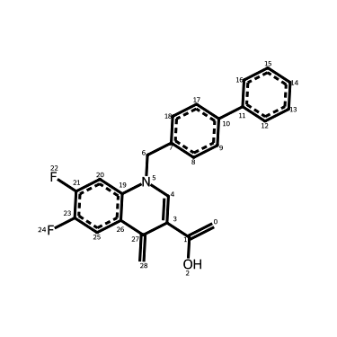 C=C(O)C1=CN(Cc2ccc(-c3ccccc3)cc2)c2cc(F)c(F)cc2C1=C